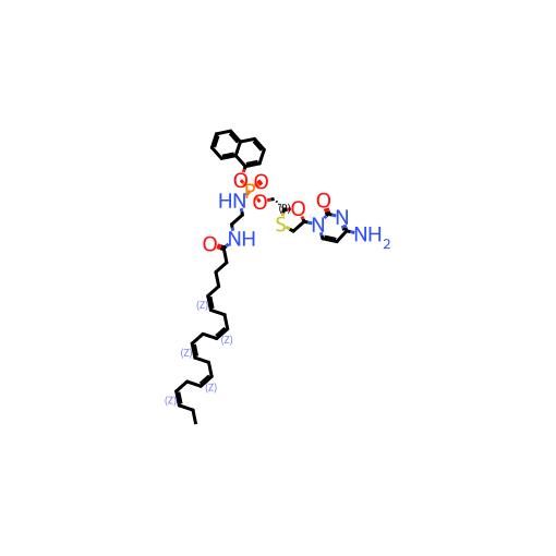 CC/C=C\C/C=C\C/C=C\C/C=C\C/C=C\CCCC(=O)NCCNP(=O)(OC[C@@H]1OC(n2ccc(N)nc2=O)CS1)Oc1cccc2ccccc12